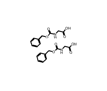 O=C(O)CNC(=O)OCc1ccccc1.O=C(O)CNC(=O)OCc1ccccc1